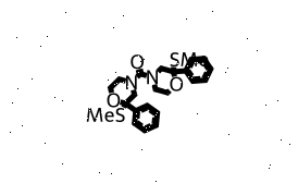 CSC1(c2ccccc2)CN(C(=O)N2CCOC(SC)(c3ccccc3)C2)CCO1